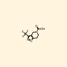 O=C(O)N1CCc2onc(C(F)(F)F)c2C1